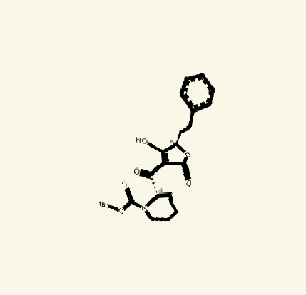 CC(C)(C)OC(=O)N1CCCC[C@H]1C(=O)C1=C(O)[C@@H](CCc2ccccc2)OC1=O